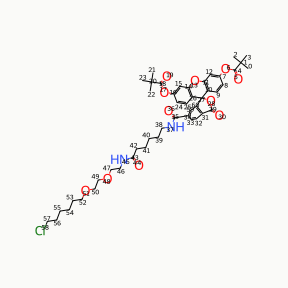 CC(C)(C)C(=O)Oc1ccc2c(c1)Oc1cc(OC(=O)C(C)(C)C)ccc1C21OC(=O)c2ccc(C(=O)NCCCCCC(=O)NCCOCCOCCCCCCCl)cc21